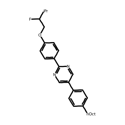 CCCCCCCCc1ccc(-c2cnc(-c3ccc(OCC(F)C(C)C)cc3)nc2)cc1